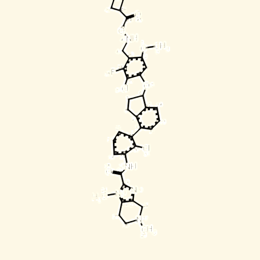 COc1cc(OC2CCc3c(-c4cccc(NC(=O)c5nc6c(n5C)CCN(C)C6)c4Cl)cccc32)c(Cl)c(F)c1CNOC(=O)C1CCC1